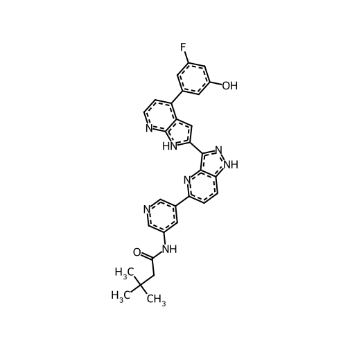 CC(C)(C)CC(=O)Nc1cncc(-c2ccc3[nH]nc(-c4cc5c(-c6cc(O)cc(F)c6)ccnc5[nH]4)c3n2)c1